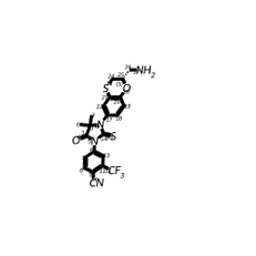 CC1(C)C(=O)N(c2ccc(C#N)c(C(F)(F)F)c2)C(=S)N1c1ccc2c(c1)SC[C@H](CN)O2